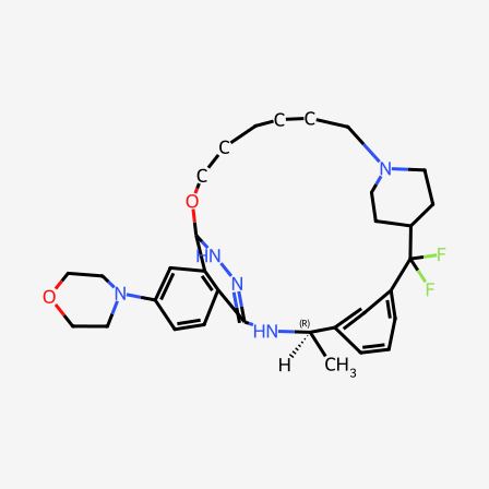 C[C@H]1NC2=NNC(OCCCCCCN3CCC(CC3)C(F)(F)c3cccc1c3)c1cc(N3CCOCC3)ccc12